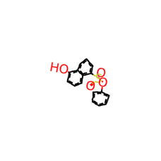 O=S(=O)(Oc1ccccc1)c1cccc2c(O)cccc12